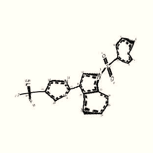 O=S(=O)(c1ccccc1)n1cc(-c2ncc(C(F)(F)F)cn2)c2ccccc21